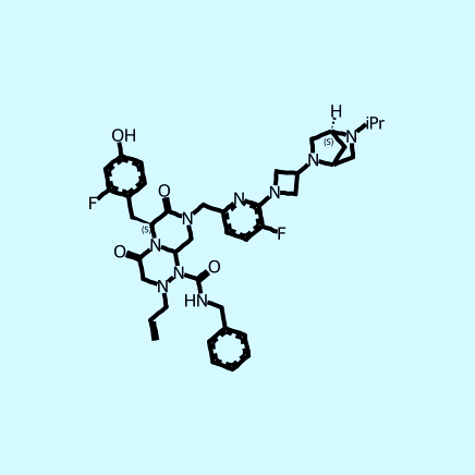 C=CCN1CC(=O)N2C(CN(Cc3ccc(F)c(N4CC(N5C[C@@H]6CC5CN6C(C)C)C4)n3)C(=O)[C@@H]2Cc2ccc(O)cc2F)N1C(=O)NCc1ccccc1